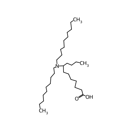 CCCCCCCCCCN(CCCCCCCCCC)C(CCCC)CCCCCCC(=O)O